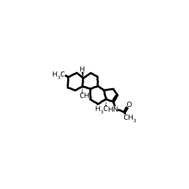 CC(=O)NC1=CCC2C3CC[C@H]4CC(C)CC[C@]4(C)C3CC[C@]12C